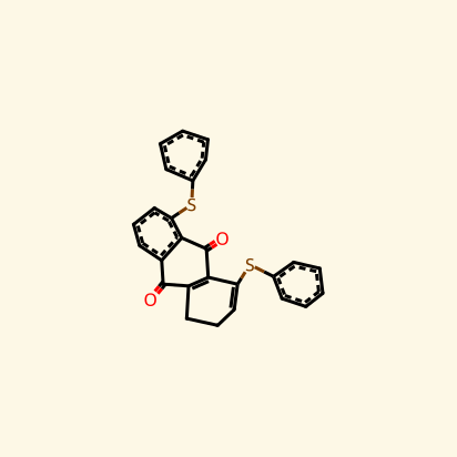 O=C1C2=C(C(=O)c3c(Sc4ccccc4)cccc31)C(Sc1ccccc1)=CCC2